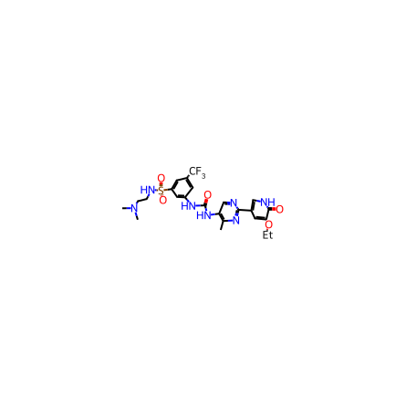 CCOc1cc(-c2ncc(NC(=O)Nc3cc(C(F)(F)F)cc(S(=O)(=O)NCCN(C)C)c3)c(C)n2)c[nH]c1=O